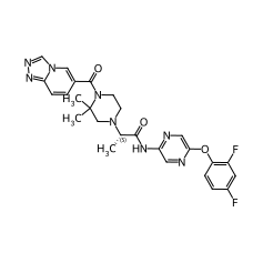 C[C@@H](C(=O)Nc1cnc(Oc2ccc(F)cc2F)cn1)N1CCN(C(=O)c2ccc3nncn3c2)C(C)(C)C1